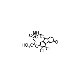 CCC1c2cc(OC(CCS(N)(=O)=O)C(=O)O)c(Cl)c(Cl)c2C2=CC(=O)CCC21